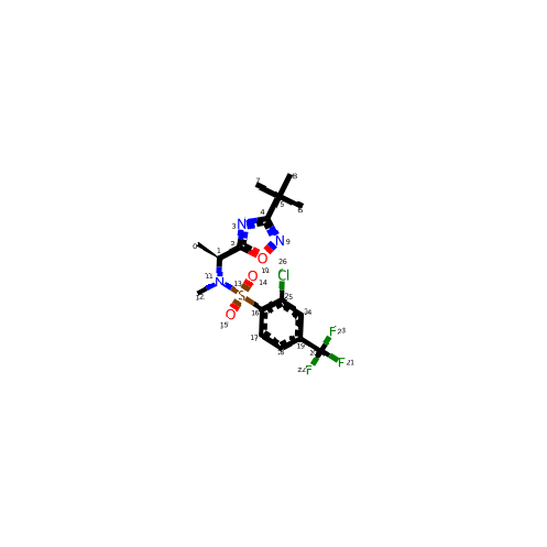 C[C@@H](c1nc(C(C)(C)C)no1)N(C)S(=O)(=O)c1ccc(C(F)(F)F)cc1Cl